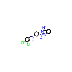 CN(C)c1nc(N[C@H]2CCC[C@H](NCc3ccc(Cl)c(Cl)c3)C2)nc2ccccc12